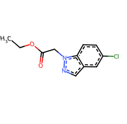 CCOC(=O)Cn1ncc2cc(Cl)ccc21